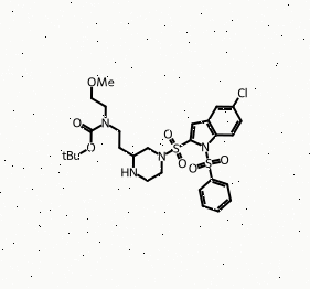 COCCN(CCC1CN(S(=O)(=O)c2cc3cc(Cl)ccc3n2S(=O)(=O)c2ccccc2)CCN1)C(=O)OC(C)(C)C